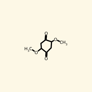 COC1CC(=O)C(OC)CC1=O